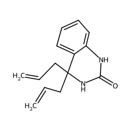 C=CCC1(CC=C)NC(=O)Nc2ccccc21